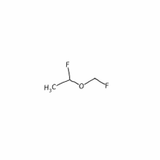 CC(F)OCF